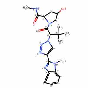 CNC(=O)[C@H]1CC(O)CN1C(=O)C(n1cc(-c2nc3ccccc3n2C)nn1)C(C)(C)C